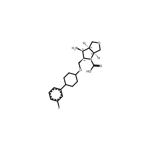 N[C@H]1[C@H]2COC[C@H]2N(C(=O)O)[C@H]1COC1CCC(c2cccc(F)c2)CC1